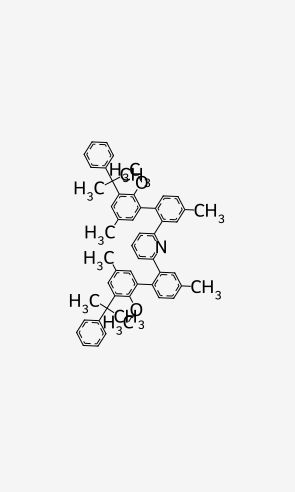 COc1c(-c2ccc(C)cc2-c2cccc(-c3cc(C)ccc3-c3cc(C)cc(C(C)(C)c4ccccc4)c3OC)n2)cc(C)cc1C(C)(C)c1ccccc1